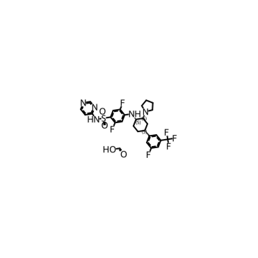 O=CO.O=S(=O)(Nc1ccncn1)c1cc(F)c(N[C@H]2CC[C@H](c3cc(F)cc(C(F)(F)F)c3)C[C@@H]2N2CCCC2)cc1F